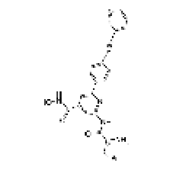 CC(C)C[C@H](N)C(=O)Nc1cc(C(=O)NO)cc(-c2ccc(C#Cc3cccnc3)cc2)n1